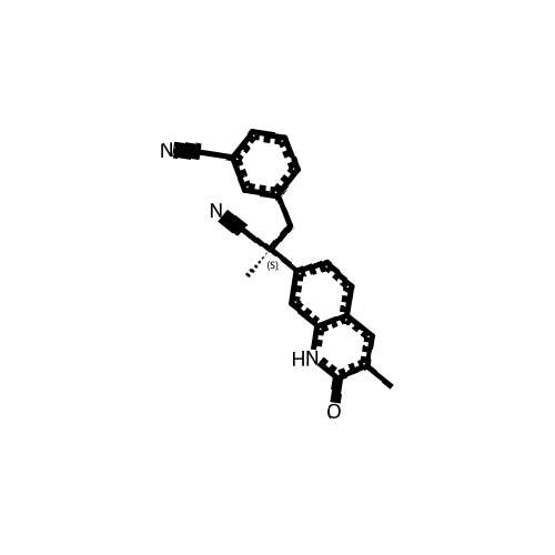 Cc1cc2ccc([C@@](C)(C#N)Cc3cccc(C#N)c3)cc2[nH]c1=O